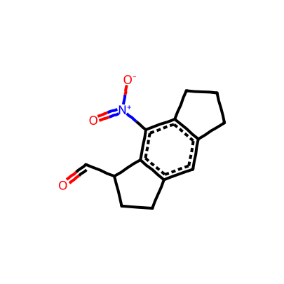 O=CC1CCc2cc3c(c([N+](=O)[O-])c21)CCC3